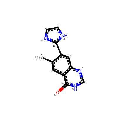 COc1cc2c(=O)[nH]cnc2cc1-c1ncc[nH]1